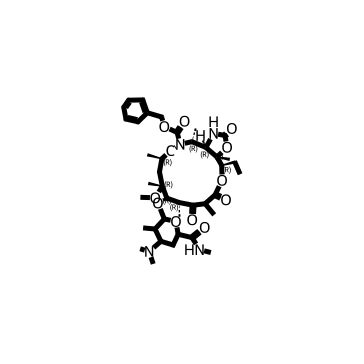 CC[C@H]1OC(=O)C(C)C(=O)[C@H](C)[C@@H](OC2OC(C(=O)NC)CC(N(C)C)C2C)[C@](C)(OC)C[C@@H](C)CN(C(=O)OCc2ccccc2)[C@H](C)[C@H]2NC(=O)O[C@@]21C